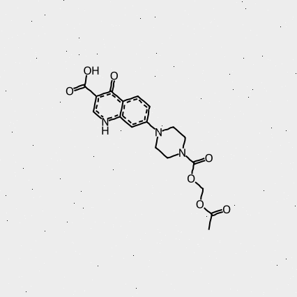 CC(=O)OCOC(=O)N1CCN(c2ccc3c(=O)c(C(=O)O)c[nH]c3c2)CC1